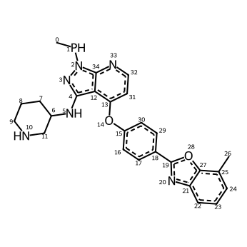 CPn1nc(NC2CCCNC2)c2c(Oc3ccc(-c4nc5cccc(C)c5o4)cc3)ccnc21